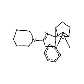 CC1(c2ccccc2)C2CCC(CC2)C12CCC(N1CCCCC1)=N2